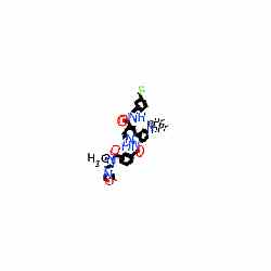 CCCN(CCC)c1ccc(NC(=O)c2cccc(C(=O)N(C)CCN3CCOCC3)c2)c(-c2cc(C(=O)NCc3cccc(CF)c3)ccn2)c1